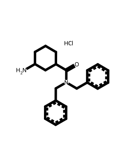 Cl.NC1CCCC(C(=O)N(Cc2ccccc2)Cc2ccccc2)C1